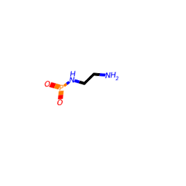 NCCNP(=O)=O